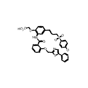 O=C(O)COc1ccc(CCCS(=O)(=O)c2ccc(Cl)cc2)cc1NC(=O)c1ccccc1OCc1ncc(-c2ccccc2)s1